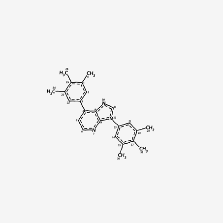 Cc1cc(-c2ccnc3c2ncn3-c2cc(C)c(C)c(C)c2)cc(C)c1C